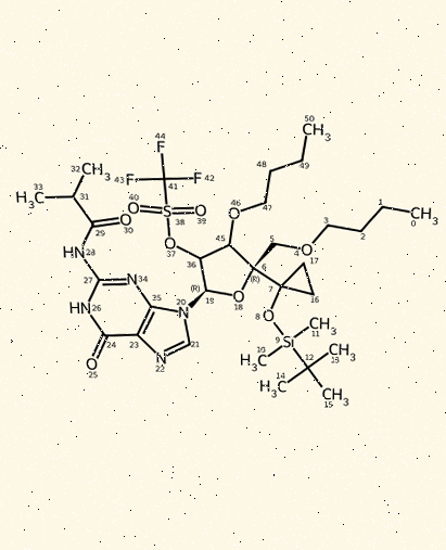 CCCCOC[C@@]1(C2(O[Si](C)(C)C(C)(C)C)CC2)O[C@@H](n2cnc3c(=O)[nH]c(NC(=O)C(C)C)nc32)C(OS(=O)(=O)C(F)(F)F)C1OCCCC